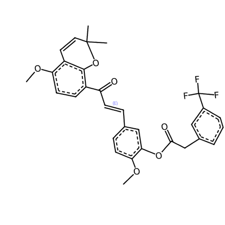 COc1ccc(/C=C/C(=O)c2ccc(OC)c3c2OC(C)(C)C=C3)cc1OC(=O)Cc1cccc(C(F)(F)F)c1